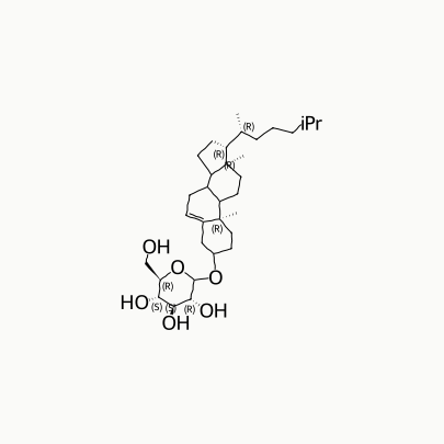 CC(C)CCC[C@@H](C)[C@H]1CCC2C3CC=C4CC(OC5O[C@H](CO)[C@@H](O)[C@H](O)[C@H]5O)CC[C@]4(C)C3CC[C@@]21C